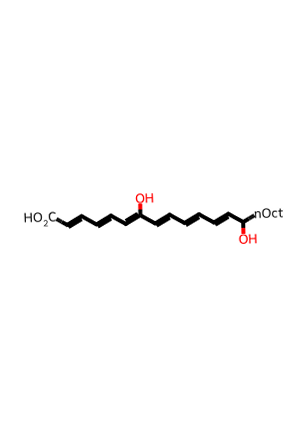 CCCCCCCCC(O)C=CC=CC=CC(O)=CC=CC=CC(=O)O